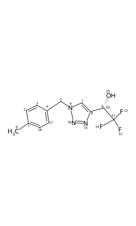 Cc1ccc(Cn2cc([C@H](O)C(F)(F)F)nn2)cc1